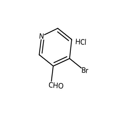 Cl.O=Cc1cnccc1Br